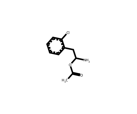 CC(=O)OC(N)Cc1ccccc1Cl